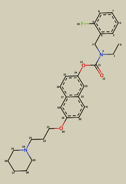 CCN(Cc1ccccc1F)C(=O)Oc1ccc2cc(OCCCN3CCCCC3)ccc2c1